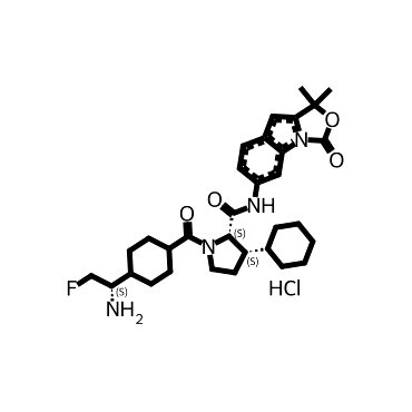 CC1(C)OC(=O)n2c1cc1ccc(NC(=O)[C@@H]3[C@H](C4CCCCC4)CCN3C(=O)C3CCC([C@H](N)CF)CC3)cc12.Cl